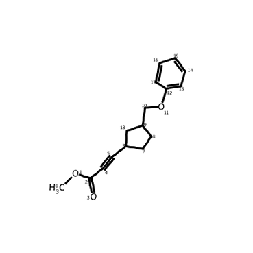 COC(=O)C#CC1CCC(COc2ccccc2)C1